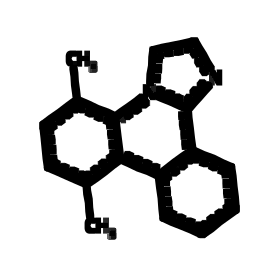 Cc1ccc(C)c2c1c1ccccc1c1nccn12